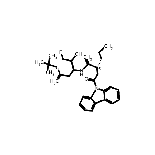 C=C(CC(NC(=C)[C@H](CCC)CC(=O)n1c2ccccc2c2ccccc21)C(O)CF)OC(C)(C)C